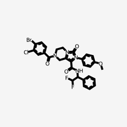 COc1ccc(-n2c(C(=O)NC(c3ccccc3)C(F)F)c3n(c2=O)CCN(C(=O)c2ccc(Br)c(Cl)c2)C3)cc1